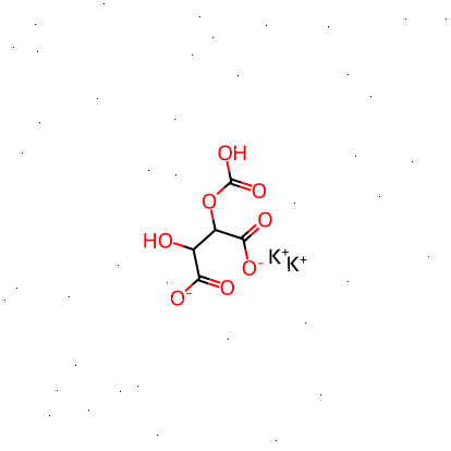 O=C(O)OC(C(=O)[O-])C(O)C(=O)[O-].[K+].[K+]